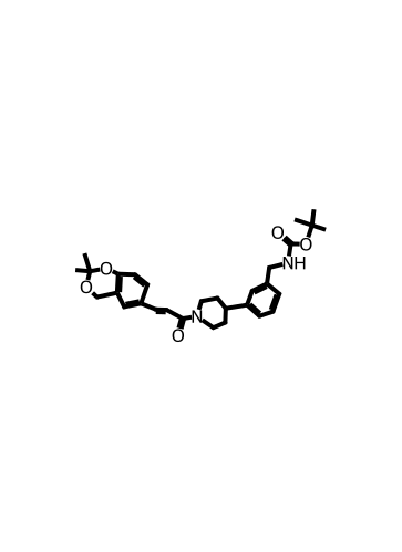 CC(C)(C)OC(=O)NCc1cccc(C2CCN(C(=O)/C=C/c3ccc4c(c3)COC(C)(C)O4)CC2)c1